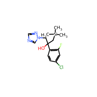 C[Si](C)(C)CC(O)(Cn1cncn1)c1ccc(Cl)cc1F